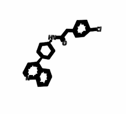 O=C(Cc1ccc(Cl)cc1)N[C@H]1CC[C@H](c2ccnc3ccccc32)CC1